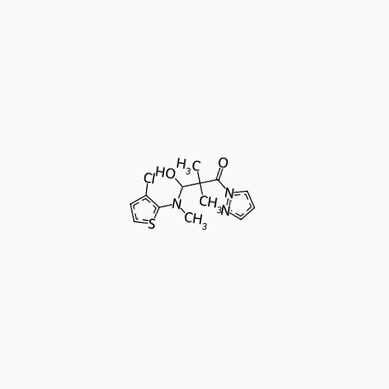 CN(c1sccc1Cl)C(O)C(C)(C)C(=O)n1cccn1